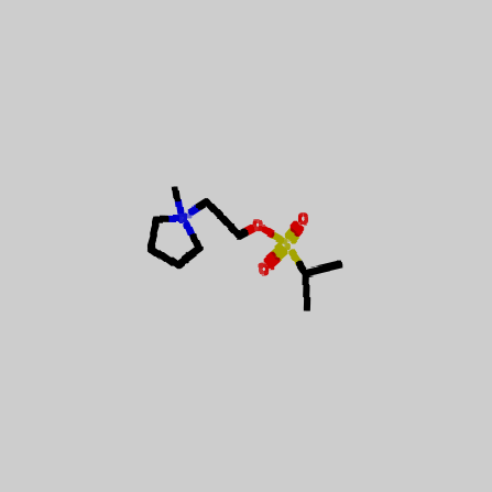 CC(C)S(=O)(=O)OCC[N+]1(C)CCCC1